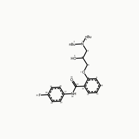 CCCCN(CCCC)CC(O)COc1ccccc1C(=O)Nc1ccc(F)cc1